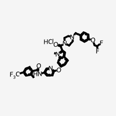 Cc1cc(C(F)(F)F)ccc1C(=O)Nc1ccc(Oc2ccc3cc(C(=O)N4CCN(Cc5ccc(OCC(F)F)cc5)CC4)n(C)c3c2)nc1.Cl